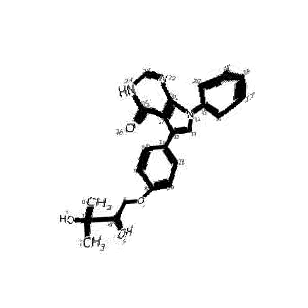 CC(C)(O)C(O)COc1ccc(-c2cn(-c3ccccc3)c3nc[nH]c(=O)c23)cc1